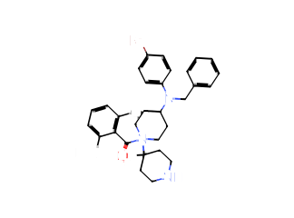 Cc1cccc(C)c1C(=O)[N+]1(C2(C)CCNCC2)CCC(N(Cc2ccccc2)c2ccc(Br)cc2)CC1